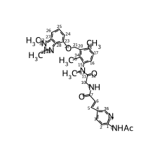 CC(=O)Nc1ccc(C=CC(=O)NCC(=O)N(C)c2ccc(C)c(COc3cccc4c3nc(C)n4C)c2C)cn1